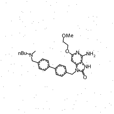 CCCCN(C)Cc1ccc(-c2ccc(Cn3c(=O)[nH]c4c(N)nc(OCCOC)cc43)cc2)cc1